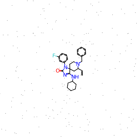 C=CC1CC2(CCN1Cc1ccccc1)C(NC1CCCCC1)=NC(=O)N2c1cccc(F)c1